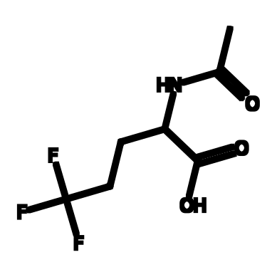 CC(=O)NC(CCC(F)(F)F)C(=O)O